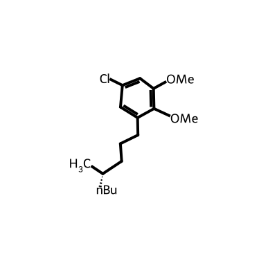 CCCC[C@H](C)CCCc1cc(Cl)cc(OC)c1OC